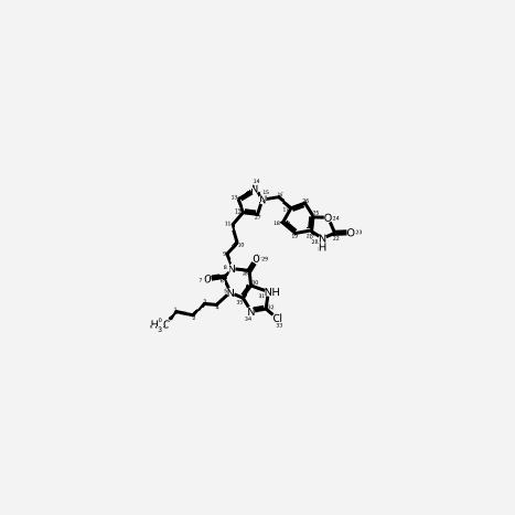 CCCCCn1c(=O)n(CCCc2cnn(Cc3ccc4[nH]c(=O)oc4c3)c2)c(=O)c2[nH]c(Cl)nc21